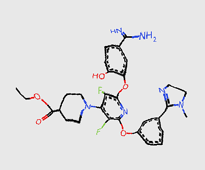 CCOC(=O)C1CCN(c2c(F)c(Oc3cccc(C4=NCCN4C)c3)nc(Oc3cc(C(=N)N)ccc3O)c2F)CC1